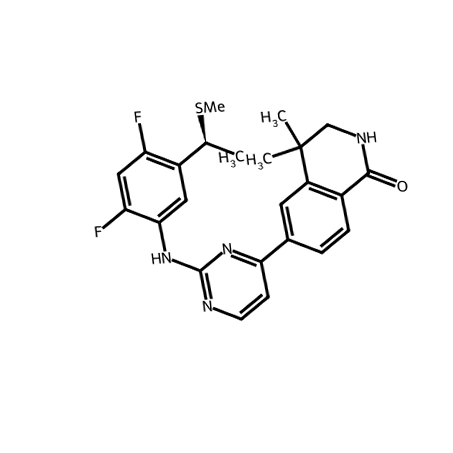 CS[C@@H](C)c1cc(Nc2nccc(-c3ccc4c(c3)C(C)(C)CNC4=O)n2)c(F)cc1F